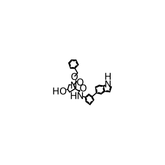 O=C(Nc1cccc(-c2ccc3[nH]ccc3c2)c1)C1CC(O)CN1C(=O)OCc1ccccc1